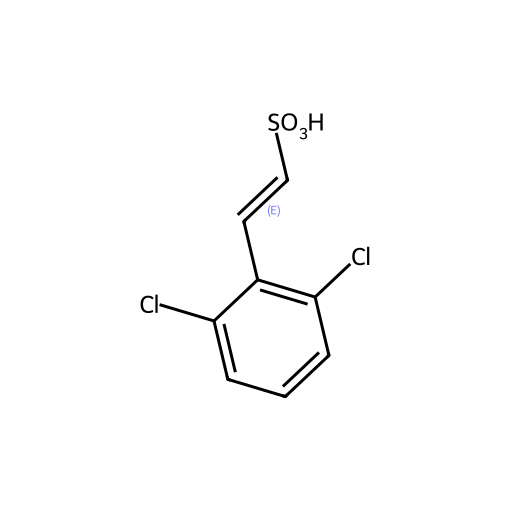 O=S(=O)(O)/C=C/c1c(Cl)cccc1Cl